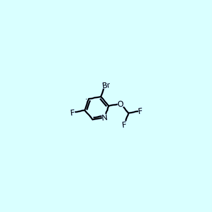 Fc1[c]c(Br)c(OC(F)F)nc1